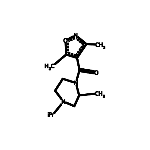 Cc1noc(C)c1C(=O)N1CCN(C(C)C)CC1C